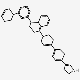 C1=CC2=C(C3CC=C(C4=CC=C(C5=CNCC5)CC4)CC3)CCC(c3cccc(C4CC=CCC4)c3)C2C=C1